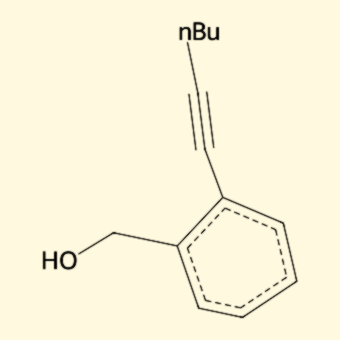 CCCCC#Cc1ccccc1CO